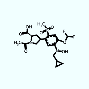 CC(=O)N1CC(c2cc(N(O)CC3CC3)c(OC(F)F)cc2S(C)(=O)=O)C[C@@H]1C(=O)O